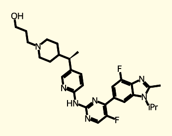 Cc1nc2c(F)cc(-c3nc(Nc4ccc([C@H](C)C5CCN(CCCO)CC5)cn4)ncc3F)cc2n1C(C)C